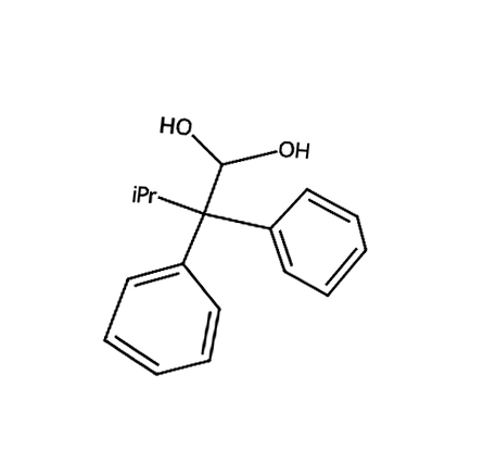 CC(C)C(c1ccccc1)(c1ccccc1)C(O)O